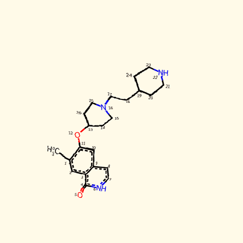 Cc1cc2c(=O)[nH]ccc2cc1OC1CCN(CCC2CCNCC2)CC1